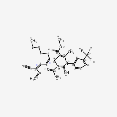 C=C/C(C#N)=C\C=C(/CCCSC)[C@@H]1C(C(=O)OC)=C(C)N(c2cccc(C(F)(F)F)c2)C(=N)N1C(N)=O